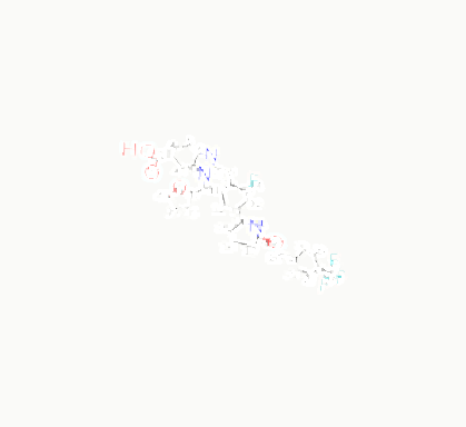 O=C(O)c1ccc2nc(Cc3ccc(-c4cccc(OCc5ccc(C(F)(F)F)cc5)n4)cc3F)n(CC3CCCO3)c2c1